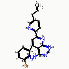 C=CCc1ccc(-c2cc(-c3cccc(Br)c3)c3c(N)ncnc3n2)nc1